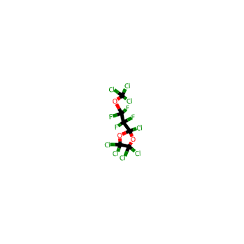 FC(F)(OC(Cl)(Cl)Cl)C(F)(F)C1(Cl)OC(Cl)(Cl)C(Cl)(Cl)O1